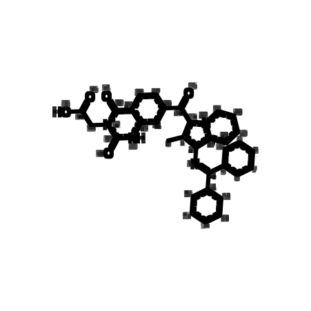 Cc1c(N=C(c2ccccc2)c2ccccc2)c2ccccn2c1C(=O)c1ccc2c(=O)n(CC(=O)O)c(=O)[nH]c2c1